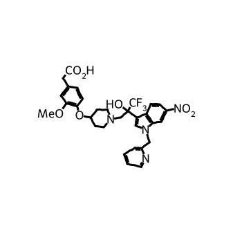 COc1cc(CC(=O)O)ccc1OC1CCN(CC(O)(c2cn(Cc3ccccn3)c3cc([N+](=O)[O-])ccc23)C(F)(F)F)CC1